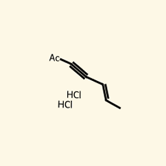 CC=CC#CC(C)=O.Cl.Cl